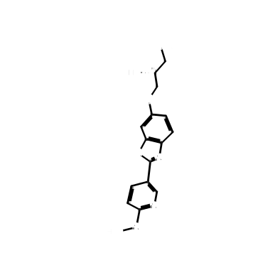 CC[C@@H](O)COc1ccc2nc(-c3ccc(NC)nc3)sc2c1